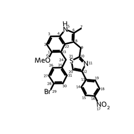 COc1ccc2[nH]c(C)c(Cc3nc(-c4ccc([N+](=O)[O-])cc4)cs3)c2c1Cc1ccc(Br)cc1